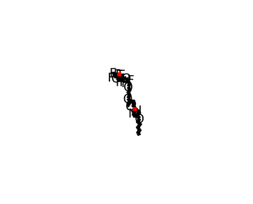 CCCCCCOc1cnc(-c2ccc(OCCCOCC(F)(F)OC(F)(F)C(F)(F)OC(F)(F)F)cc2)nc1